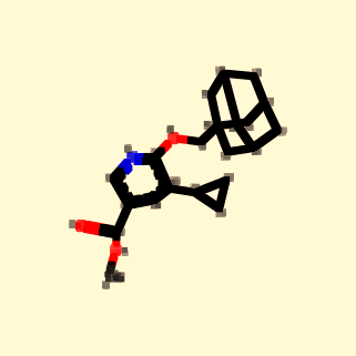 CC(C)(C)OC(=O)c1cnc(OCC23CC4CC(CC(C4)C2)C3)c(C2CC2)c1